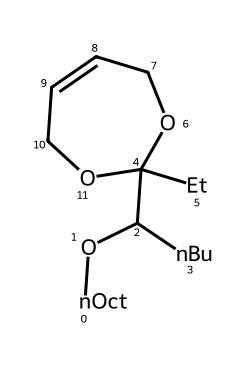 CCCCCCCCOC(CCCC)C1(CC)OCC=CCO1